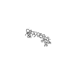 CC[C@@H](C(=O)[C@@H](C)[C@@H](O)C1(C)C[C@]12O[C@@H]([C@@H](CC)C(=O)O)CC[C@@H]2C)[C@H]1O[C@]2(C=C[C@@H](NC(=O)OCC(F)(F)F)[C@]3(CC[C@@](C)([C@H]4CC[C@](O)(CC)[C@H](C)O4)O3)O2)[C@H](C)C[C@@H]1C